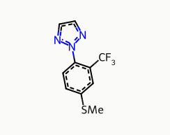 CSc1ccc(-n2nccn2)c(C(F)(F)F)c1